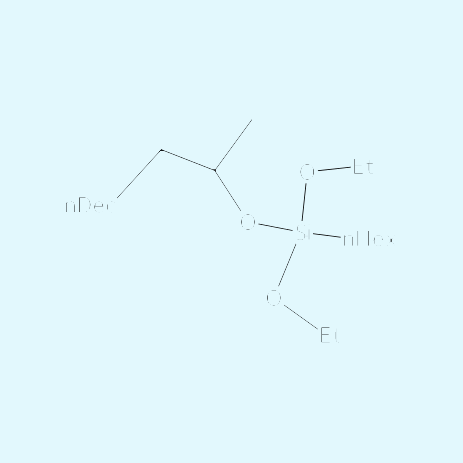 CCCCCCCCCCCC(C)O[Si](CCCCCC)(OCC)OCC